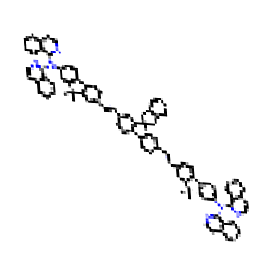 CC1(C)c2cc(/C=C/c3ccc4c(c3)C3(Cc5ccccc5C3)c3cc(/C=C/c5ccc6c(c5)C(C)(C)c5cc(N(c7nccc8ccccc78)c7nccc8ccccc78)ccc5-6)ccc3-4)ccc2-c2ccc(N(c3nccc4ccccc34)c3nccc4ccccc34)cc21